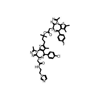 Cc1sc2c(c1C)C(c1ccc(F)cc1)=N[C@@H](CC(=O)OC(C)(C)CCc1sc3c(c1C)C(c1ccc(Cl)cc1)=N[C@@H](CC(=O)NCCn1ccnc1)c1nnc(C)n1-3)c1nnc(C)n1-2